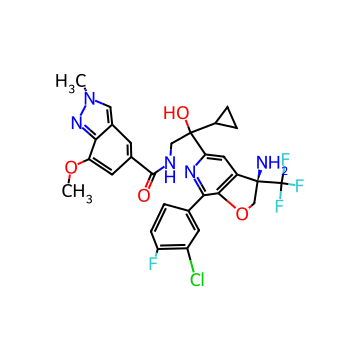 COc1cc(C(=O)NCC(O)(c2cc3c(c(-c4ccc(F)c(Cl)c4)n2)OC[C@@]3(N)C(F)(F)F)C2CC2)cc2cn(C)nc12